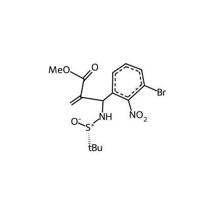 C=C(C(=O)OC)C(N[S@@+]([O-])C(C)(C)C)c1cccc(Br)c1[N+](=O)[O-]